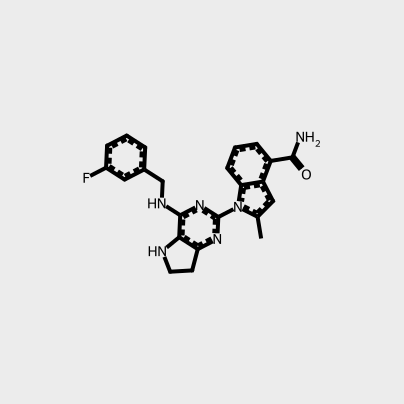 Cc1cc2c(C(N)=O)cccc2n1-c1nc2c(c(NCc3cccc(F)c3)n1)NCC2